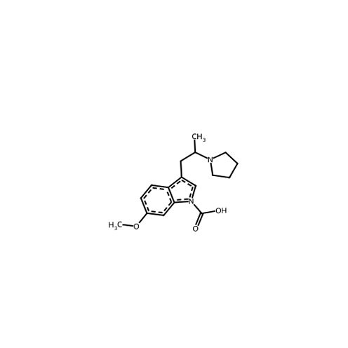 COc1ccc2c(CC(C)N3CCCC3)cn(C(=O)O)c2c1